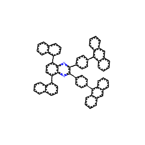 c1ccc2c(-c3ccc(-c4cccc5ccccc45)c4nc(-c5ccc(-c6c7ccccc7cc7ccccc67)cc5)c(-c5ccc(-c6c7ccccc7cc7ccccc67)cc5)nc34)cccc2c1